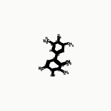 Cc1cc(-c2cc(C)c(Br)c(C)c2C)cc(C)c1Br